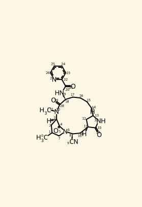 CC1C[C@H]2C(=O)N(C1)[C@H](C#N)C[C@@H]1C[C@@H](CCCC[C@H](NC(=O)c3ccccn3)C(=O)N2C)NC1=O